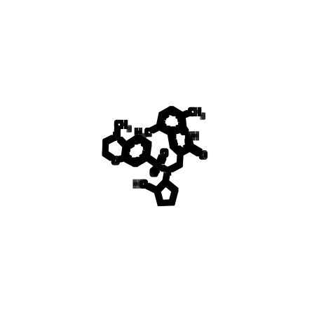 Cc1ccc(C)c2[nH]c(=O)c(CN(C3CCCC3O)S(=O)(=O)c3ccc4c(c3)OCCN4C)cc12